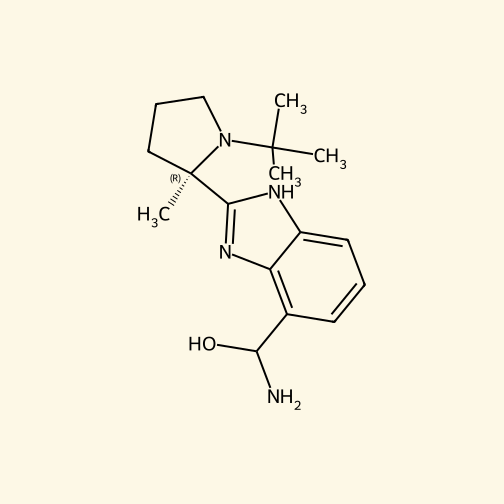 CC(C)(C)N1CCC[C@]1(C)c1nc2c(C(N)O)cccc2[nH]1